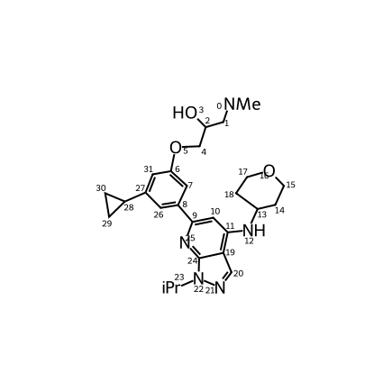 CNCC(O)COc1cc(-c2cc(NC3CCOCC3)c3cnn(C(C)C)c3n2)cc(C2CC2)c1